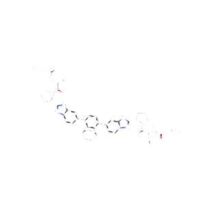 COC(=O)N[C@H](C(=O)N1CCC[C@H]1c1nc2ccc(-c3ccc(-c4ccc5nc([C@@H]6CCCN6C(=O)[C@@H](NC(=O)OC)C(C)C)[nH]c5c4)c4c3C3CCC4CC3)cc2[nH]1)C(C)C